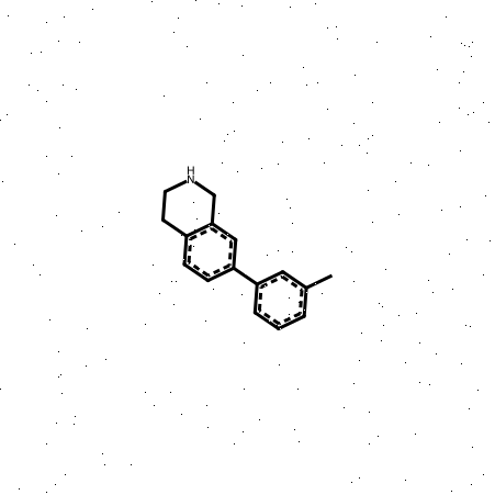 Cc1cccc(-c2ccc3c(c2)CNCC3)c1